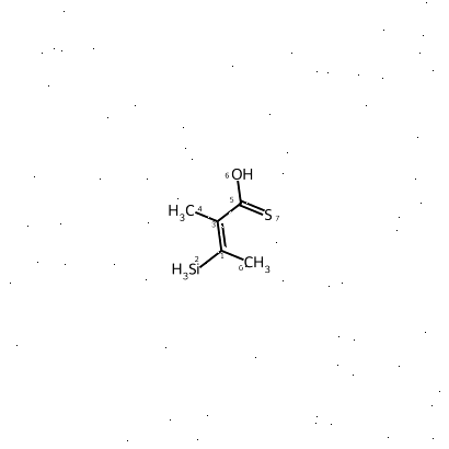 CC([SiH3])=C(C)C(O)=S